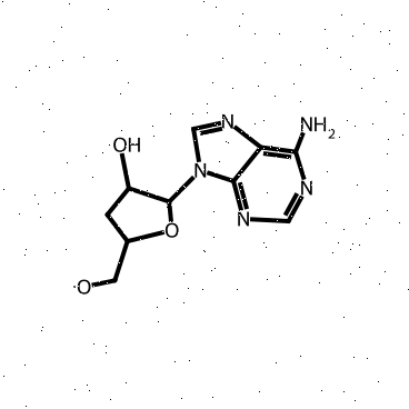 Nc1ncnc2c1ncn2C1OC(C[O])CC1O